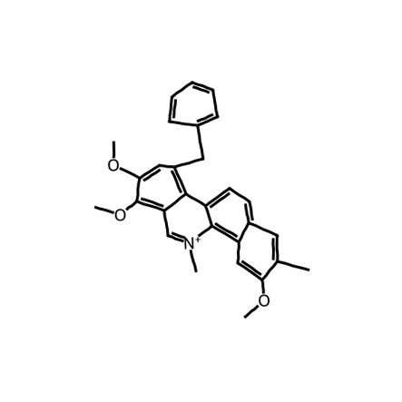 COc1cc2c(ccc3c4c(Cc5ccccc5)cc(OC)c(OC)c4c[n+](C)c23)cc1C